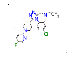 Fc1ccc(N2CCC(c3nnc4n3-c3ccc(Cl)cc3CN(CC(F)(F)F)C4)CC2)nc1